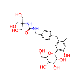 Cc1cc(O)c([C@@H]2O[C@H](CO)[C@@H](O)[C@H](O)[C@H]2O)cc1Cc1ccc(CNC(=O)NC(CO)(CO)CO)cc1